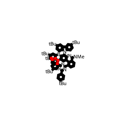 CNC(=N)c1cccc(-c2nc(-c3ccc(C(C)(C)C)cc3)nc(-c3ccc(C(C)(C)C)cc3)n2)c1-c1cc2c3c(c1)-n1c4ccc(C(C)(C)C)cc4c4cc(C(C)(C)C)cc(c41)B3c1cc(C(C)(C)C)cc3c4cc(C(C)(C)C)ccc4n-2c13